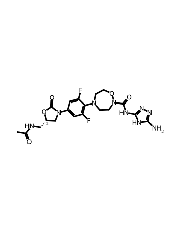 CC(=O)NC[C@H]1CN(c2cc(F)c(N3CCON(C(=O)Nc4nnc(N)[nH]4)CC3)c(F)c2)C(=O)O1